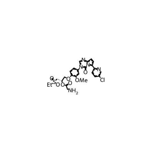 CCS(=O)(=O)C[C@H](COc1ccc(-n2cnc3ccc(-c4ccc(Cl)cn4)n3c2=O)cc1OC)OC(=O)CN